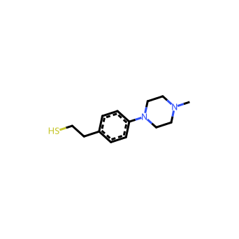 CN1CCN(c2ccc(CCS)cc2)CC1